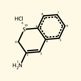 Cl.NC1=Cc2ccccc2SC1